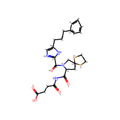 O=C(O)CCC(=O)NC(=O)C1CC2(CN1C(=O)c1ncc(CCCc3ccccc3)[nH]1)SCCS2